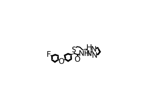 O=C1N[C@H](CNc2ncccn2)CCS[C@@H]1c1ccc(Oc2ccc(F)cc2)cc1